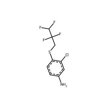 Nc1ccc(SCC(F)(F)C(F)F)c(Cl)c1